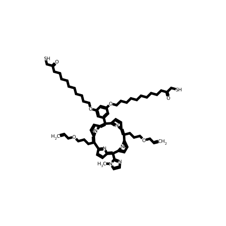 C=CCOCCCc1c2nc(c(-c3nccn3C)c3ccc([nH]3)c(CCCOCC=C)c3nc(c(-c4cc(OCCCCCCCCCCC(=O)CS)cc(OCCCCCCCCCCC(=O)CS)c4)c4ccc1[nH]4)C=C3)C=C2